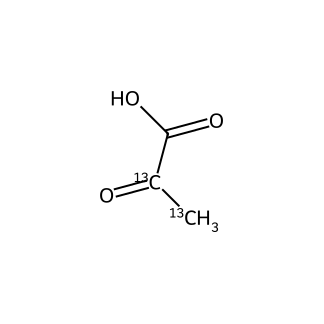 [13CH3][13C](=O)C(=O)O